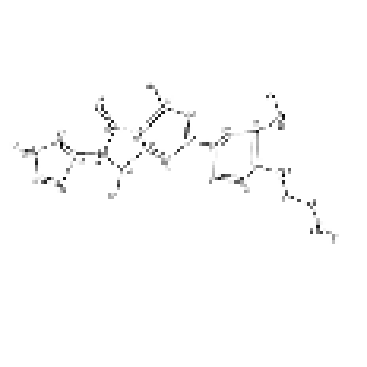 COCCOc1ncc(-c2cc(C)c3c(n2)C(C)N(c2ccn(C)n2)C3=O)cc1OC